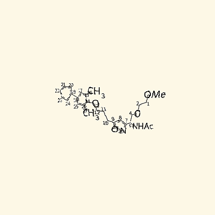 COCCOCC(NC(C)=O)c1cc(CCCOc2c(C)cc(-c3ccccc3)cc2C)on1